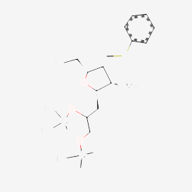 CO[C@@H]1[C@@H](CSc2ccccc2)[C@H](CC=O)O[C@@H]1CC(CO[Si](C)(C)C(C)(C)C)O[Si](C)(C)C(C)(C)C